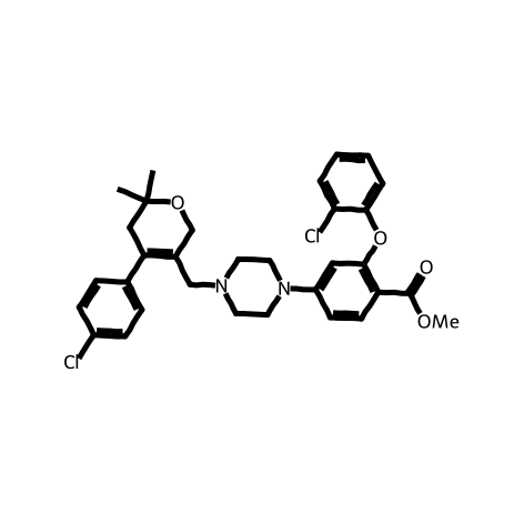 COC(=O)c1ccc(N2CCN(CC3=C(c4ccc(Cl)cc4)CC(C)(C)OC3)CC2)cc1Oc1ccccc1Cl